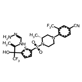 C=C(N/C=N\N)C(O)(c1ccc(S(=O)(=O)N2CCN(c3ccc(C#N)cc3C(F)(F)F)C[C@H]2C)s1)C(F)(F)F